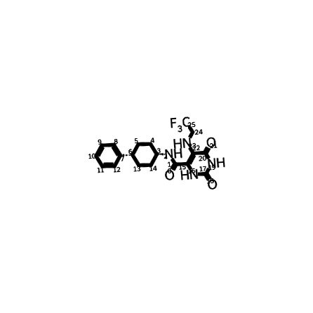 O=C(N[C@H]1CC[C@@H](c2ccccc2)CC1)c1[nH]c(=O)[nH]c(=O)c1NCC(F)(F)F